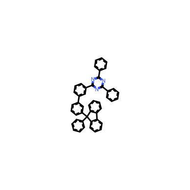 c1ccc(-c2nc(-c3ccccc3)nc(-c3cccc(-c4cccc(C5(c6ccccc6)c6ccccc6-c6ccccc65)c4)c3)n2)cc1